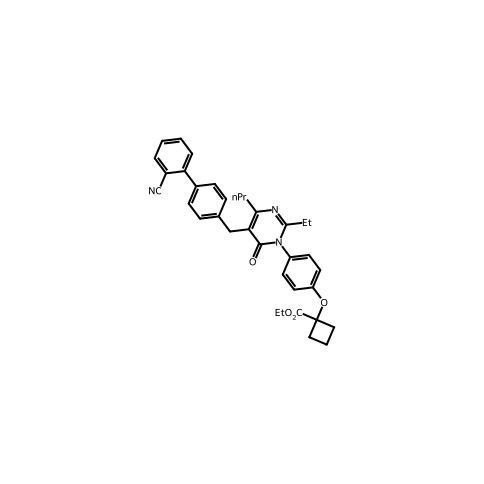 CCCc1nc(CC)n(-c2ccc(OC3(C(=O)OCC)CCC3)cc2)c(=O)c1Cc1ccc(-c2ccccc2C#N)cc1